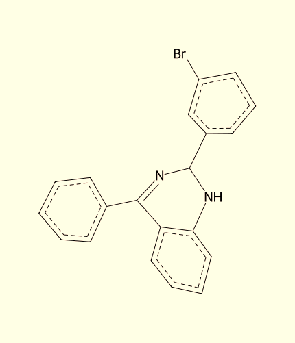 Brc1cccc(C2N=C(c3ccccc3)c3ccccc3N2)c1